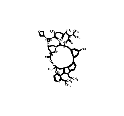 CCn1c(-c2cccnc2C(C)C)c2c3cc(ccc31)-c1cc(O)cc(c1)C[C@H](NC(=O)[C@H](C(C)C)N(C)C(=O)CN(C)C(=O)[C@H]1N[C@H]1C1COC1)C(=O)N1CCC[C@H](N1)C(=O)OCC(C)(C)C2